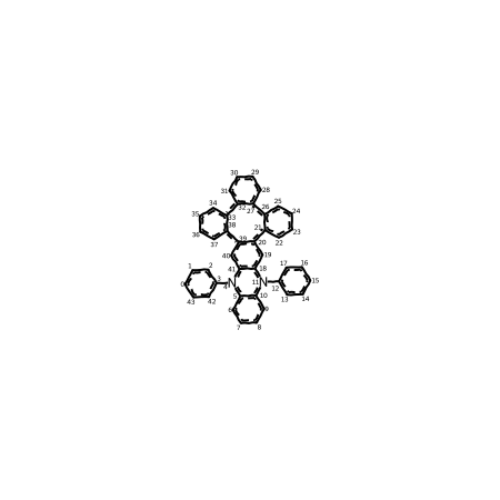 c1ccc(-n2c3ccccc3n(-c3ccccc3)c3cc4c5ccccc5c5ccccc5c5ccccc5c4cc32)cc1